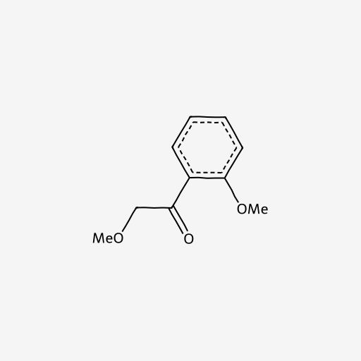 COCC(=O)c1ccccc1OC